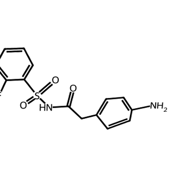 Nc1ccc(CC(=O)NS(=O)(=O)c2ccccc2F)cc1